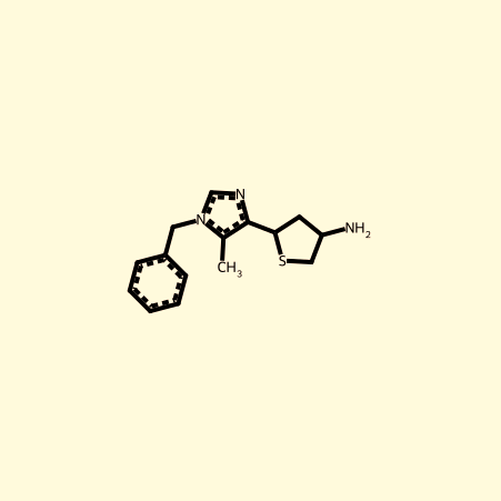 Cc1c(C2CC(N)CS2)ncn1Cc1ccccc1